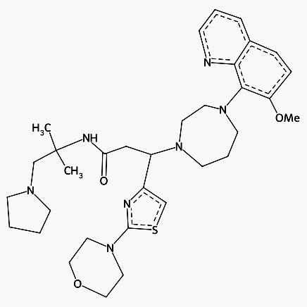 COc1ccc2cccnc2c1N1CCCN(C(CC(=O)NC(C)(C)CN2CCCC2)c2csc(N3CCOCC3)n2)CC1